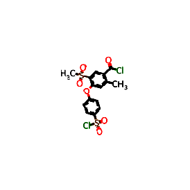 Cc1cc(Oc2ccc(S(=O)(=O)Cl)cc2)c(S(C)(=O)=O)cc1C(=O)Cl